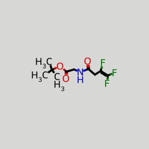 CC(C)(C)OC(=O)CNC(=O)CC(F)=C(F)F